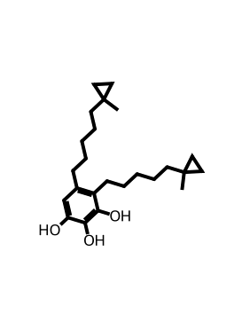 CC1(CCCCCc2cc(O)c(O)c(O)c2CCCCCC2(C)CC2)CC1